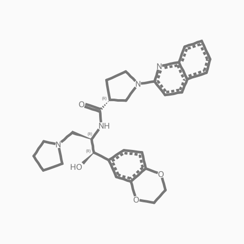 O=C(N[C@H](CN1CCCC1)[C@H](O)c1ccc2c(c1)OCCO2)[C@@H]1CCN(c2ccc3ccccc3n2)C1